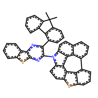 CC1(C)c2ccccc2-c2c(-c3nc4c(nc3-n3c5ccc6cccc7c6c5c5c6c(ccc53)sc3cccc-7c36)sc3ccccc34)cccc21